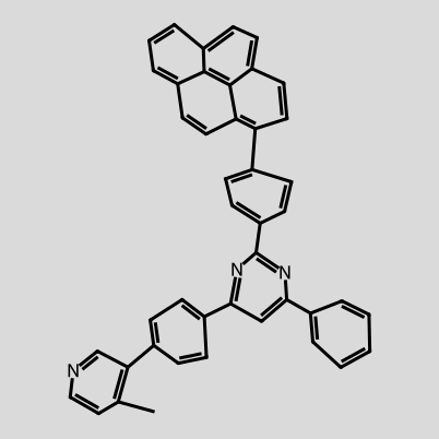 Cc1ccncc1-c1ccc(-c2cc(-c3ccccc3)nc(-c3ccc(-c4ccc5ccc6cccc7ccc4c5c67)cc3)n2)cc1